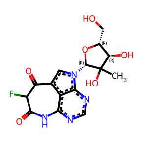 CC1(O)[C@H](O)[C@@H](CO)O[C@H]1n1cc2c3c(ncnc31)NC(=O)C(F)C2=O